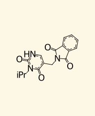 CC(C)n1c(=O)[nH]cc(CN2C(=O)c3ccccc3C2=O)c1=O